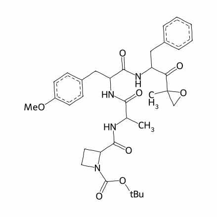 COc1ccc(CC(NC(=O)C(C)NC(=O)C2CCN2C(=O)OC(C)(C)C)C(=O)NC(Cc2ccccc2)C(=O)C2(C)CO2)cc1